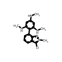 CNc1cc(NC)c(-c2cccc3c(Cl)n(C)nc23)c(NC)c1